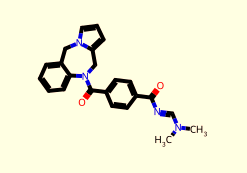 CN(C)C=NC(=O)c1ccc(C(=O)N2Cc3cccn3Cc3ccccc32)cc1